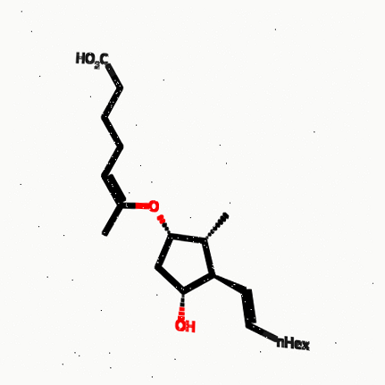 CCCCCC/C=C/[C@@H]1[C@@H](C)[C@@H](O/C(C)=C\CCCC(=O)O)C[C@H]1O